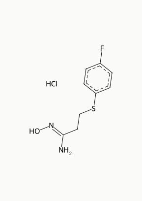 Cl.NC(CCSc1ccc(F)cc1)=NO